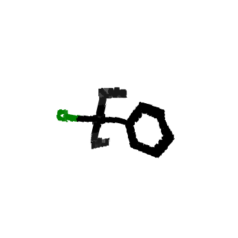 CCC(C)[Si](Cl)(NC)c1ccccc1